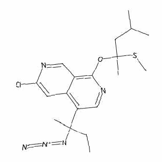 CCC(C)(N=[N+]=[N-])c1cnc(OC(C)(CC(C)C)SC)c2cnc(Cl)cc12